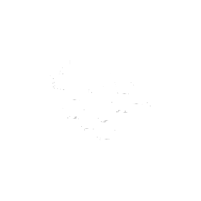 Cc1cc(-c2cnn(C)c2)c(C#N)cc1Nc1nccc(-c2cc(C#N)c3c(c2)[C@@](C)(CO)CN3)n1